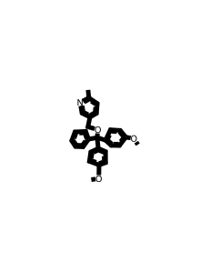 COc1ccc(C(OCc2ccc(C)nc2)(c2ccccc2)c2ccc(OC)cc2)cc1